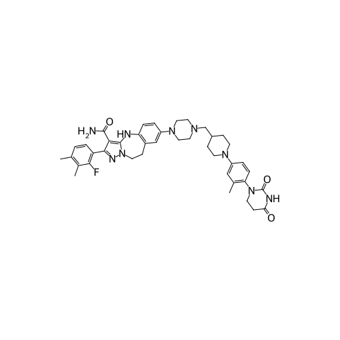 Cc1cc(N2CCC(CN3CCN(c4ccc5c(c4)CCn4nc(-c6ccc(C)c(C)c6F)c(C(N)=O)c4N5)CC3)CC2)ccc1N1CCC(=O)NC1=O